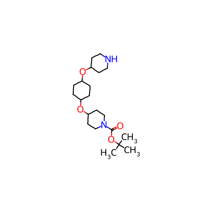 CC(C)(C)OC(=O)N1CCC(OC2CCC(OC3CCNCC3)CC2)CC1